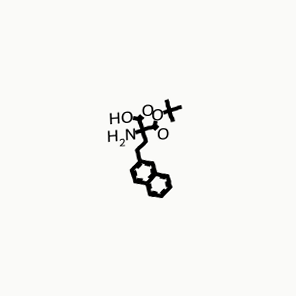 CC(C)(C)OC(=O)C(N)(CCc1ccc2ccccc2c1)C(=O)O